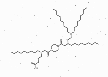 CCCCCCCCCN(CCCCCCCCC)CCN(CCCCCCCCC)CC(=O)N1CCN(C(=O)CN(CCCCCCCCC)CCCC(O)=S)CC1